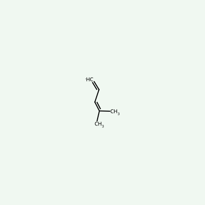 [CH]=CC=C(C)C